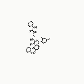 Cc1cc(F)ccc1-c1nc(NCCNC(=O)Nc2ccccc2)nc2c1ccc(=O)n2-c1c(F)cccc1F